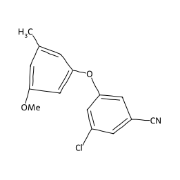 COc1cc(C)cc(Oc2cc(Cl)cc(C#N)c2)c1